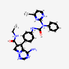 Nc1ncnn2cc(C(=O)NCC(F)(F)F)c(-c3ccc(NC(=O)N(c4ccccc4)c4nccc(C(F)(F)F)n4)cc3)c12